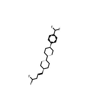 FC(F)CC=C[C@H]1CC[C@H]([C@H]2CC[C@H](c3ccc(C(F)F)cc3)CC2)CC1